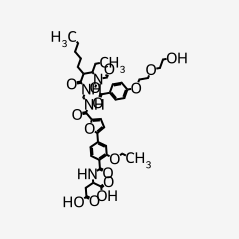 CCCCCC(C(=O)NCNC(=O)c1ccc(-c2ccc(C(=O)NC(CC(=O)O)C(=O)O)c(OCC)c2)o1)C(CC)N(C=O)OC(=O)c1ccc(OCCOCCO)cc1